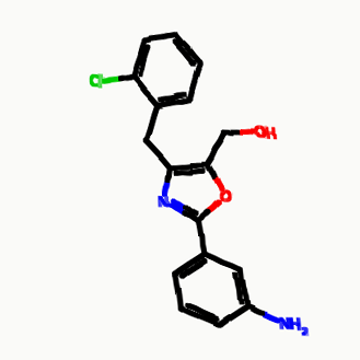 Nc1cccc(-c2nc(Cc3ccccc3Cl)c(CO)o2)c1